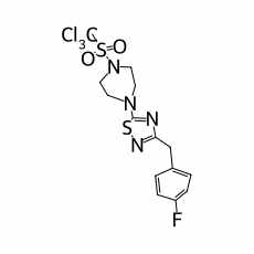 O=S(=O)(N1CCN(c2nc(Cc3ccc(F)cc3)ns2)CC1)C(Cl)(Cl)Cl